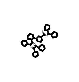 C1=c2nc(-c3cccc(-c4ccccc4-c4nc(-c5ccccc5)c(-c5ccccc5)nc4-c4ccccc4)c3)nc(-c3ccccc3)c2=CCC1